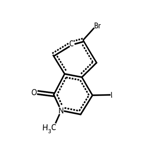 Cn1cc(I)c2cc(Br)ccc2c1=O